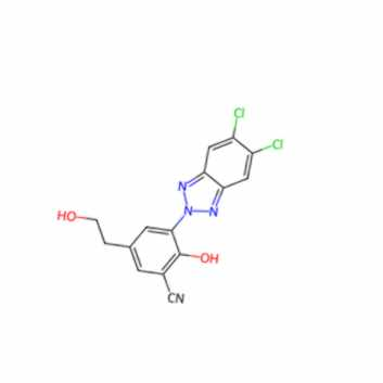 N#Cc1cc(CCO)cc(-n2nc3cc(Cl)c(Cl)cc3n2)c1O